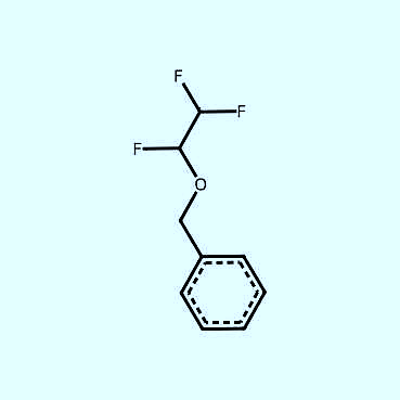 F[C](F)C(F)OCc1ccccc1